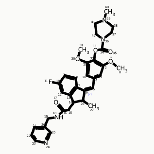 COc1cc(/C=C2\c3ccc(F)cc3C(CC(=O)NCc3cccnc3)C2C)cc(OC)c1OC(=O)N1CCN(C)CC1